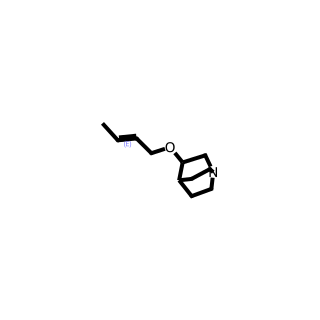 C/C=C/COC1CN2CCC1CC2